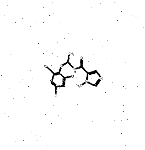 CC(NC(=O)c1cncn1C)Oc1c(Cl)cc(Cl)cc1Cl